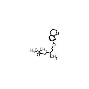 CC(CCOc1ccc2c(c1)OCCC2)CCC1OC1(C)C